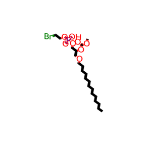 CCCCCCCCCCCCCCOCC(COP(=O)(O)OCCBr)OC(=O)OC